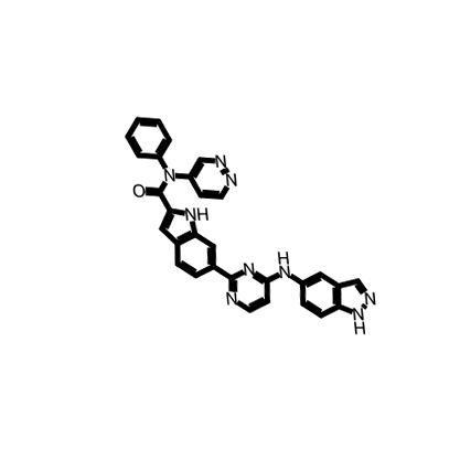 O=C(c1cc2ccc(-c3nccc(Nc4ccc5[nH]ncc5c4)n3)cc2[nH]1)N(c1ccccc1)c1ccnnc1